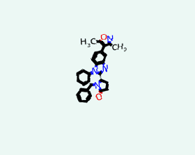 Cc1noc(C)c1-c1ccc2c(c1)nc([C@@H]1CCC(=O)N1Cc1ccccc1)n2C1CCCCC1